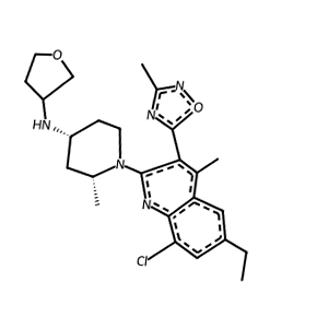 CCc1cc(Cl)c2nc(N3CC[C@@H](NC4CCOC4)C[C@H]3C)c(-c3nc(C)no3)c(C)c2c1